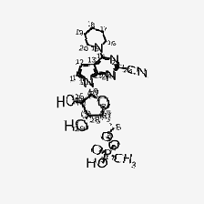 CP(=O)(O)OOC[C@H]1O[C@@H](n2ccc3c(N4CCCCC4)nc(C#N)nc32)[C@H](O)[C@@H]1O